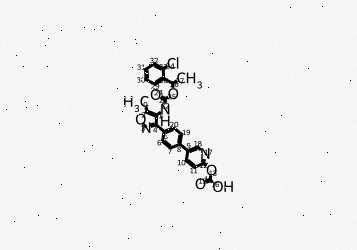 Cc1onc(-c2ccc(-c3ccc(OC(=O)O)nc3)cc2)c1NC(=O)OC(C)c1ccccc1Cl